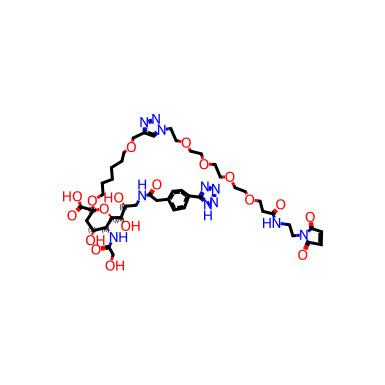 O=C(CCOCCOCCOCCOCCn1cc(COCCCCCCO[C@]2(C(=O)O)C[C@H](O)[C@@H](NC(=O)CO)[C@H]([C@H](O)[C@H](O)CNC(=O)Cc3ccc(-c4nnn[nH]4)cc3)O2)nn1)NCCN1C(=O)C=CC1=O